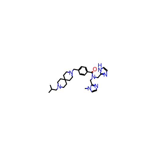 CC(C)CN1CCC2(CCN(Cc3ccc(C(=O)N(Cc4ncc[nH]4)Cc4nccn4C)cc3)CC2)CC1